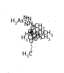 CCCCCCOC(=O)C(C)(C)N[P@@](=O)(CO[C@H](C)Cn1cnc2c([AsH2])ncnc21)[AsH][C@H](C)C(=O)OC(C)C